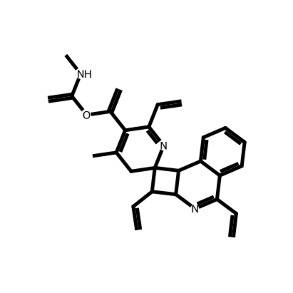 C=CC1=NC2(CC(C)=C1C(=C)OC(=C)NC)C(C=C)C1N=C(C=C)c3ccccc3C12